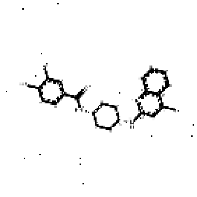 Cc1cc(C(=O)N[C@H]2CC[C@@H](Nc3cc(C)c4ccccc4n3)CC2)ccc1F